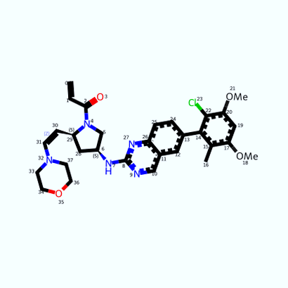 C=CC(=O)N1C[C@@H](Nc2ncc3cc(-c4c(C)c(OC)cc(OC)c4Cl)ccc3n2)C[C@H]1/C=C\N1CCOCC1